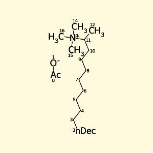 CC(=O)[O-].CCCCCCCCCCCCCCCCCCC(C)[N+](C)(C)C